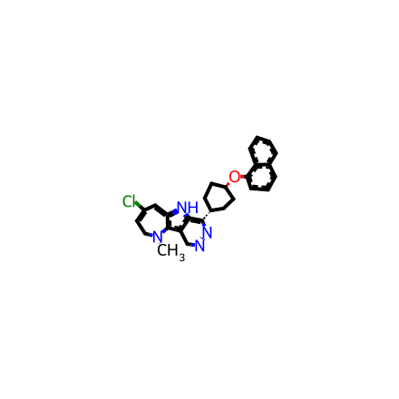 CN1CC=C(Cl)C=c2[nH]c3c(c21)CN=NC=3[C@H]1CC[C@H](Oc2cccc3ccccc23)CC1